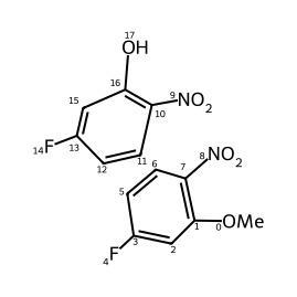 COc1cc(F)ccc1[N+](=O)[O-].O=[N+]([O-])c1ccc(F)cc1O